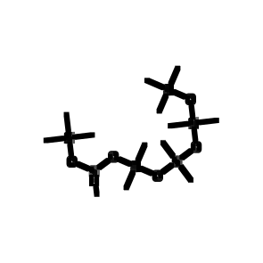 C[SiH](O[Si](C)(C)C)O[Si](C)(C)O[Si](C)(C)O[Si](C)(C)O[Si](C)(C)C